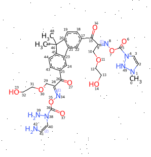 CN1C=CN(C(=O)O/N=C(\COCCO)C(=O)c2ccc3c(c2)-c2cc(C(=O)/C(COCCO)=N/OC(=O)N(N)/C=C\N)ccc2C3(C)C)N1